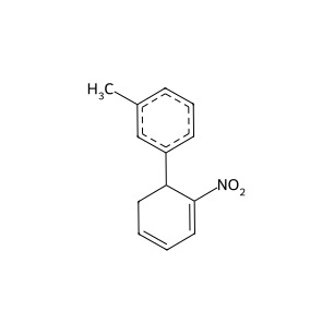 Cc1cccc(C2CC=CC=C2[N+](=O)[O-])c1